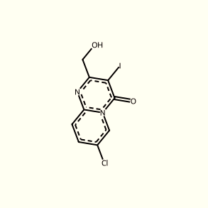 O=c1c(I)c(CO)nc2ccc(Cl)cn12